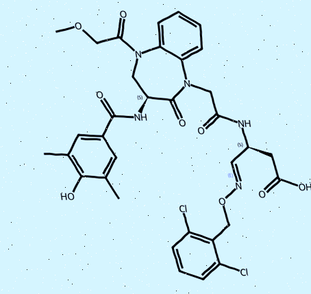 COCC(=O)N1C[C@H](NC(=O)c2cc(C)c(O)c(C)c2)C(=O)N(CC(=O)N[C@H](/C=N/OCc2c(Cl)cccc2Cl)CC(=O)O)c2ccccc21